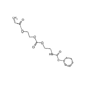 C=CC(=O)OCCOC(=O)OCCNC(=O)Oc1ccccc1